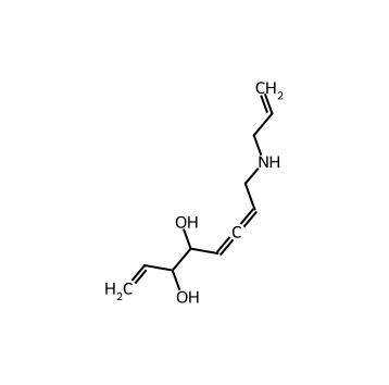 C=CCNCC=C=CC(O)C(O)C=C